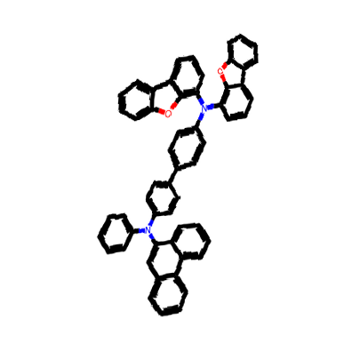 c1ccc(N(c2ccc(-c3ccc(N(c4cccc5c4oc4ccccc45)c4cccc5c4oc4ccccc45)cc3)cc2)c2cc3ccccc3c3ccccc23)cc1